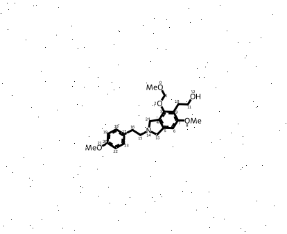 COCOc1c2c(cc(OC)c1CCO)CN(CCc1ccc(OC)cc1)C2